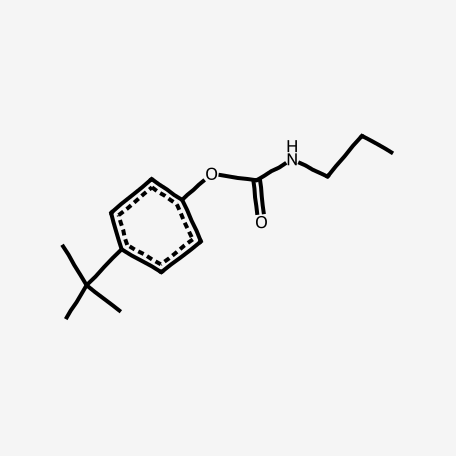 CCCNC(=O)Oc1ccc(C(C)(C)C)cc1